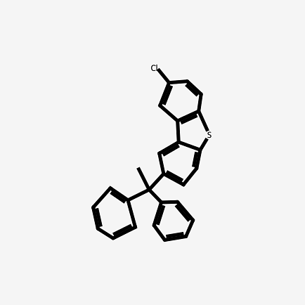 CC(c1ccccc1)(c1ccccc1)c1ccc2sc3ccc(Cl)cc3c2c1